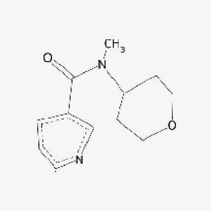 CN(C(=O)c1cc[c]nc1)C1CCOCC1